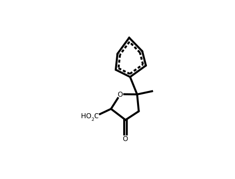 CC1(c2ccccc2)CC(=O)C(C(=O)O)O1